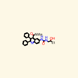 CCC(O)CNC(=O)Nc1ccc2nc(-c3ccccc3)c(-c3ccccc3)c(C(=O)NC)c2c1